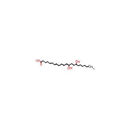 CCCCCCC(O)CCC(O)CCCCCCCCCCCC(=O)O